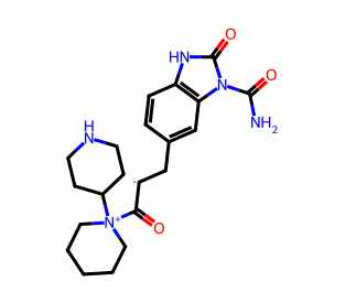 NC(=O)n1c(=O)[nH]c2ccc(C[CH]C(=O)[N+]3(C4CCNCC4)CCCCC3)cc21